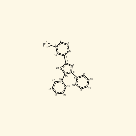 FC(F)(F)c1cccc(-c2cc(-c3ccccc3)c(-c3ccccc3)s2)c1